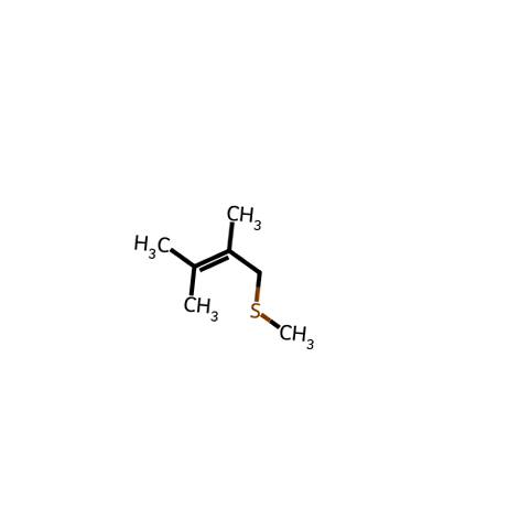 CSCC(C)=C(C)C